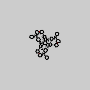 c1ccc(-c2cc3c(s2)c2c(c4c5sc(-c6ccccc6)cc5n(-c5ccc(N(c6ccccc6)c6ccccc6)cc5)c4c4c5sc(-c6ccccc6)cc5n(-c5ccc(N(c6ccccc6)c6ccccc6)cc5)c24)n3-c2ccc(N(c3ccccc3)c3ccccc3)cc2)cc1